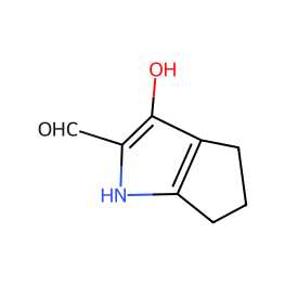 O=Cc1[nH]c2c(c1O)CCC2